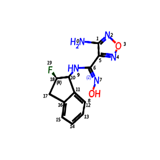 Nc1nonc1/C(=N/O)NC1c2ccccc2C[C@H]1F